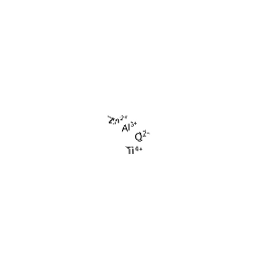 [Al+3].[O-2].[Ti+4].[Zn+2]